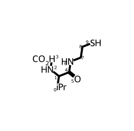 CC(C)C(NC(=O)O)C(=O)NCCS